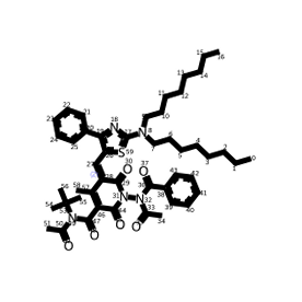 CCCCCCCCN(CCCCCCCC)c1nc(-c2ccccc2)c(/C=C2\C(=O)N(N(C(C)=O)C(=O)c3ccccc3)C(=O)C(C(=O)N(C(C)=O)C(C)(C)C)=C2C)s1